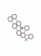 CC1(C)c2ccccc2-c2c(-c3ccccc3N(c3ccc(-c4ccccc4)cc3)c3ccccc3-c3ccc(-c4ccccc4)cc3)cccc21